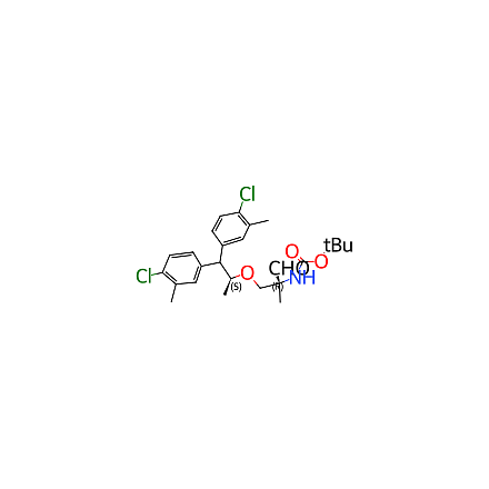 Cc1cc(C(c2ccc(Cl)c(C)c2)[C@H](C)OC[C@](C)(C=O)NC(=O)OC(C)(C)C)ccc1Cl